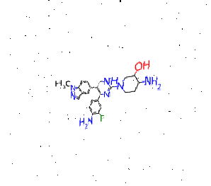 Cn1ncc2cc(C3=C(c4ccc(N)c(F)c4)N=C(N4CCC(N)C(O)C4)NC3)ccc21